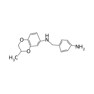 CC1COc2ccc(NCc3ccc(N)cc3)cc2O1